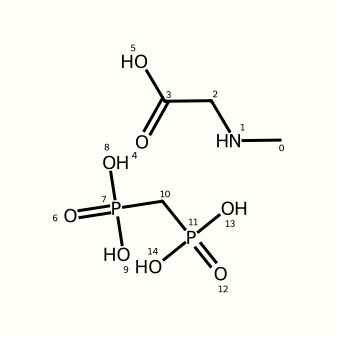 CNCC(=O)O.O=P(O)(O)CP(=O)(O)O